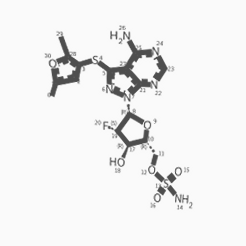 Cc1cc(Sc2nn([C@@H]3O[C@H](COS(N)(=O)=O)[C@@H](O)[C@@H]3F)c3ncnc(N)c23)c(C)o1